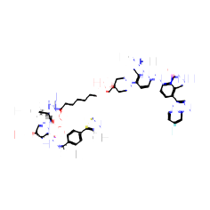 Cc1ncsc1-c1ccc([C@H](C)NC(=O)[C@@H]2C[C@@H](O)CN2C(=O)[C@@H](NC(=O)CCCCCCOCC2(O)CCN(c3ccc(Nc4ccc(-c5cnc6cc(F)ccn56)c5c4C(=O)NC5)nc3CN(C)C)CC2)C(C)(C)C)cc1